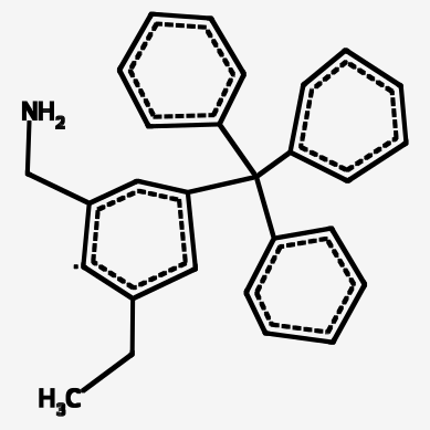 CCc1[c]c(CN)cc(C(c2ccccc2)(c2ccccc2)c2ccccc2)c1